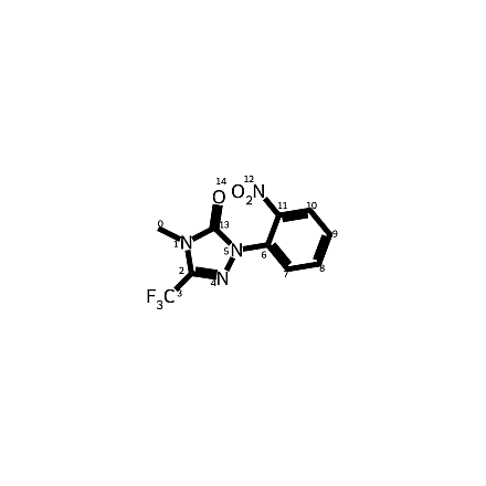 Cn1c(C(F)(F)F)nn(-c2ccccc2[N+](=O)[O-])c1=O